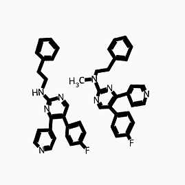 CN(CCc1ccccc1)c1ncc(-c2ccc(F)cc2)c(-c2ccncc2)n1.Fc1ccc(-c2cnc(NCCc3ccccc3)nc2-c2ccncc2)cc1